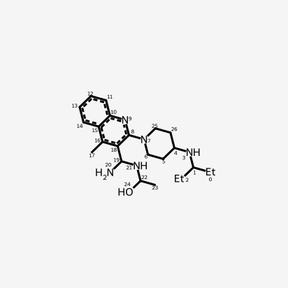 CCC(CC)NC1CCN(c2nc3ccccc3c(C)c2C(N)NC(C)O)CC1